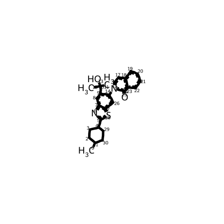 CC1CCC(c2nc3cc(C(C)(C)O)c(-n4ccc5ccccc5c4=O)cc3s2)CC1